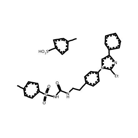 CCc1nc(-c2ccccc2)cn1-c1ccc(CCNC(=O)NS(=O)(=O)c2ccc(C)cc2)cc1.Cc1ccc(S(=O)(=O)O)cc1